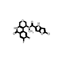 CN(C(=O)c1cc2oc(Cl)cc2[nH]1)C1COCc2[nH]c(=O)c3cc(F)c(F)cc3c21